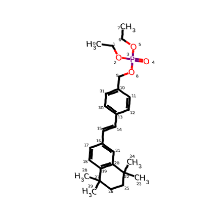 CCOP(=O)(OCC)OCc1ccc(C=Cc2ccc3c(c2)C(C)(C)CCC3(C)C)cc1